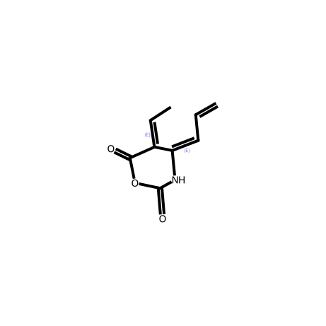 C=C/C=c1/[nH]c(=O)oc(=O)/c1=C/C